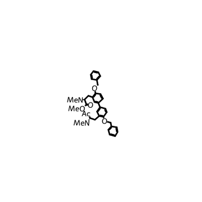 CN[C@@H](Cc1cc(-c2ccc(OCc3ccccc3)c(C[C@H](NC)C(=O)OC)c2)ccc1OCc1ccccc1)C(C)=O